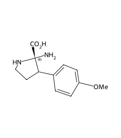 COc1ccc(C2CCN[C@@]2(N)C(=O)O)cc1